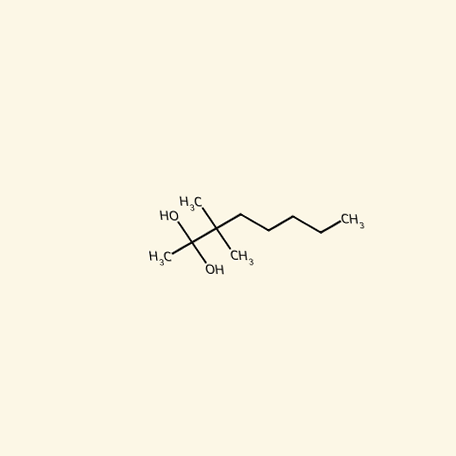 CCCCCC(C)(C)C(C)(O)O